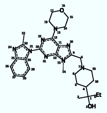 CCC(C)(O)C1CCN(Cc2nc3c(N4CCOCC4)nc(-n4c(C)nc5ccccc54)nc3n2C)CC1